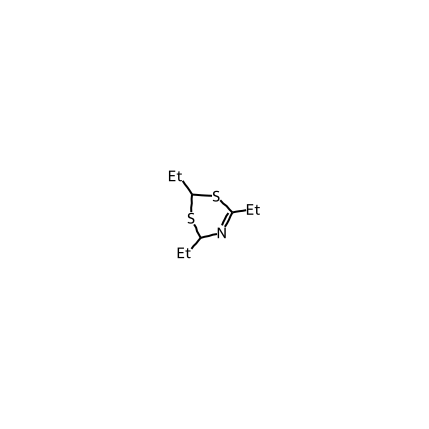 CCC1=NC(CC)SC(CC)S1